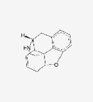 C1=CC2[C@H]3Cc4cccc5c4[C@@]2(CCN3)C(C1)O5